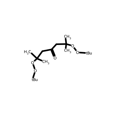 CC(C)(C)OOC(C)(C)CC(=O)CC(C)(C)OOC(C)(C)C